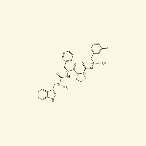 N[C@H](Cc1c[nH]c2ccccc12)C(=O)N[C@@H](Cc1ccccc1)C(=O)N1CCC[C@@H]1C(=O)N[C@@H](Cc1cccc(F)c1)C(=O)O